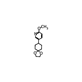 COc1ccc(C2CCC3(CC2)OCCO3)cn1